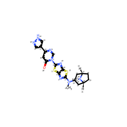 CN(c1nc2sc(-n3cnc(-c4cn[nH]c4)cc3=O)nc2s1)C1C[C@H]2CC[C@@H](C1)N2C